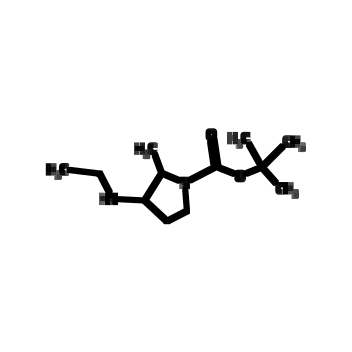 CCNC1CCN(C(=O)OC(C)(C)C)C1C